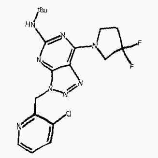 CC(C)(C)Nc1nc(N2CCC(F)(F)C2)c2nnn(Cc3ncccc3Cl)c2n1